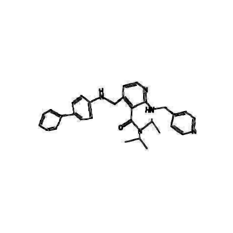 CC(C)N(C(=O)c1c(CNc2ccc(-c3ccccc3)cc2)ccnc1NCc1ccncc1)C(C)C